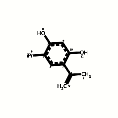 C=C(C)c1cc(C(C)C)c(O)cc1O